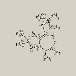 CCN1CCC(O[Si](C)(C)C)=C(O[Si](C)(C)C)C[C@@H]1C